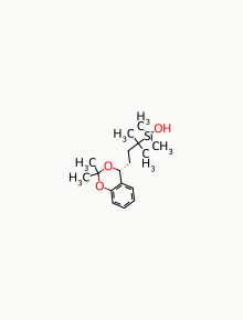 CC1(C)Oc2ccccc2[C@@H](CCC(C)(C)[Si](C)(C)O)O1